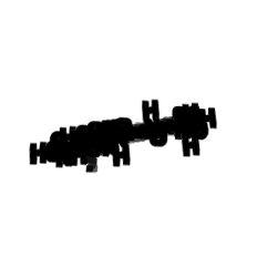 N[C@@H](CCSC[C@H]1OC(n2cnc3c(NC(=O)CCCCCNC(=O)CCCCC4SC[C@@H]5NC(=O)N[C@H]45)ncnc32)C(O)[C@@H]1O)C(=O)O